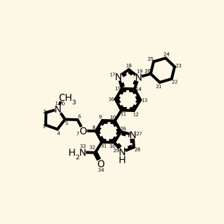 CN1CCCC1COc1cc(-c2ccc3c(c2)ncn3C2CCCCC2)c2nc[nH]c2c1C(N)=O